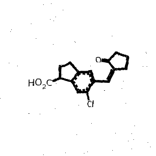 O=C1CCCC1=Cc1cc2c(cc1Cl)C(C(=O)O)CC2